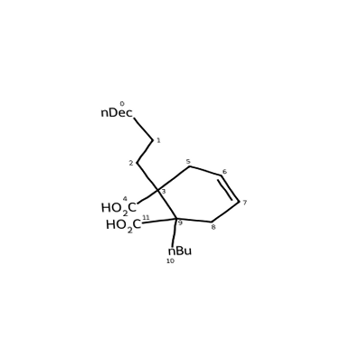 CCCCCCCCCCCCC1(C(=O)O)CC=CCC1(CCCC)C(=O)O